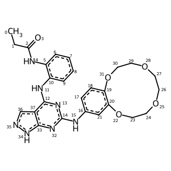 CCC(=O)Nc1ccccc1Nc1nc(Nc2ccc3c(c2)OCCOCCOCCO3)nc2[nH]ncc12